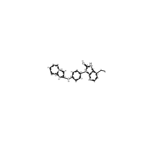 CCc1ccnc2c1[nH]c(=O)n2-c1ccc(Oc2cn3ccccc3n2)cc1